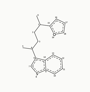 CC(CCC(C)c1csc2ccccc12)c1ccco1